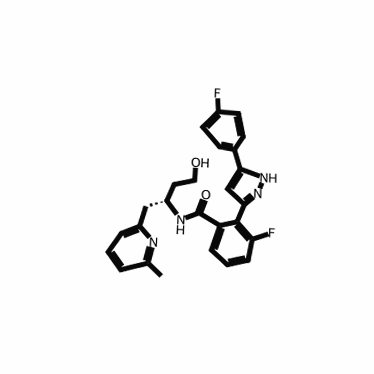 Cc1cccc(C[C@H](CCO)NC(=O)c2cccc(F)c2-c2cc(-c3ccc(F)cc3)[nH]n2)n1